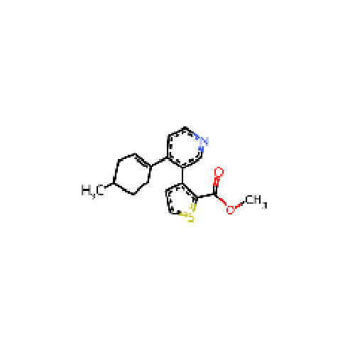 COC(=O)c1sccc1-c1cnccc1C1=CCC(C)CC1